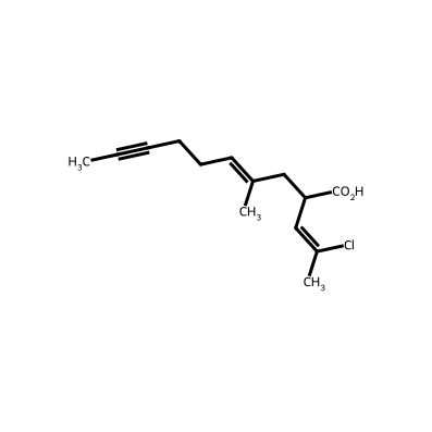 CC#CCC/C=C(\C)CC(C=C(C)Cl)C(=O)O